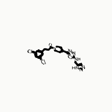 O=C(CCc1cc(Cl)cc(Cl)c1)N1CCC(c2nnc(NCc3cnn[nH]3)o2)CC1